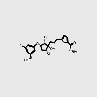 CC[C@H]1[C@H](Oc2cc(Cl)cc(CO)c2)C[C@@H](Cl)[C@@]1(O)CCCc1ccc(C(=O)OC(C)C)s1